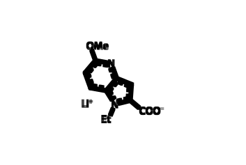 CCn1c(C(=O)[O-])cc2nc(OC)ccc21.[Li+]